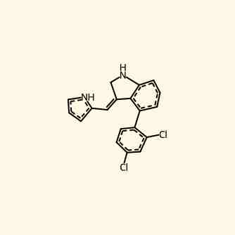 Clc1ccc(-c2cccc3c2C(=Cc2ccc[nH]2)CN3)c(Cl)c1